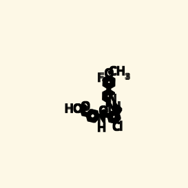 COc1ccc(-c2ccc(Cn3ncc4cc(Cl)cc(C(=O)NC5CCC(CC(=O)O)CC5)c43)nc2)cc1F